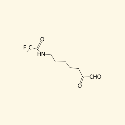 O=CC(=O)CCCCCNC(=O)C(F)(F)F